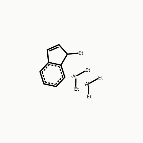 CCC1C=Cc2ccccc21.C[CH2][Al][CH2]C.C[CH2][Al][CH2]C